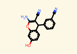 N#CC1=C(N)Oc2cc(O)ccc2C1c1cccc(C#N)c1